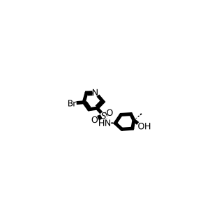 C[C@]1(O)CC[C@H](NS(=O)(=O)c2cncc(Br)c2)CC1